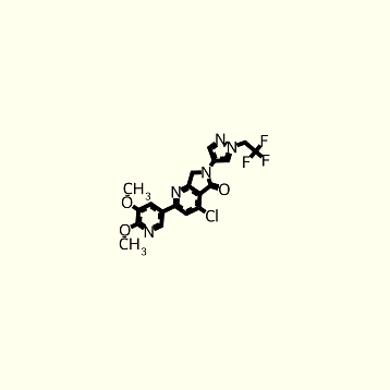 COc1cc(-c2cc(Cl)c3c(n2)CN(c2cnn(CC(F)(F)F)c2)C3=O)cnc1OC